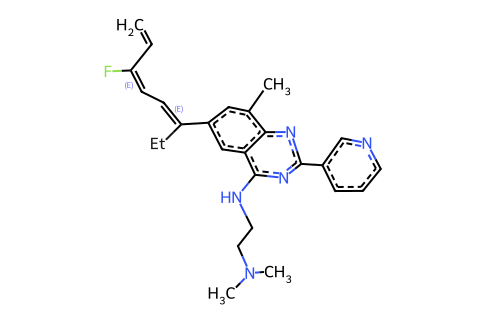 C=C/C(F)=C\C=C(/CC)c1cc(C)c2nc(-c3cccnc3)nc(NCCN(C)C)c2c1